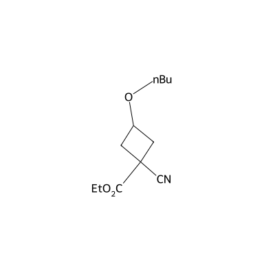 CCCCOC1CC(C#N)(C(=O)OCC)C1